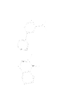 CN(C)c1cc(-c2cccc(Cn3cnc4ccccc4c3=O)c2)ccn1